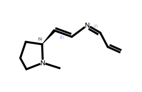 C=C/C=N\C=C\[C@@H]1CCCN1C